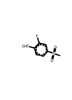 CS(=O)(=O)c1ccc([C]=O)c(F)c1